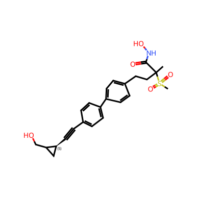 CC(CCc1ccc(-c2ccc(C#C[C@H]3CC3CO)cc2)cc1)(C(=O)NO)S(C)(=O)=O